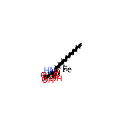 CCCCCCCCCCCCCCCC(=O)N[C@@H](CCC(=O)O)C(=O)O.[Fe]